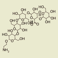 NCCO[C@H]1OC(CO)[C@H](O[C@H]2OC(CO)[C@@H](O[C@@H]3OC(CO)[C@@H](O[C@@H]4OC(C(=O)O)[C@@H](O[C@H]5OC(CO)[C@H](O)C(O)C5O)C(O)C4O)C(O)C3O)C(O)C2O)C(O)C1O